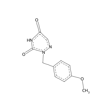 COc1ccc(Cn2ncc(=O)[nH]c2=O)cc1